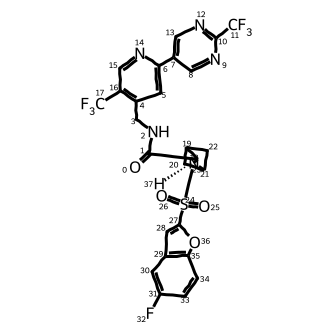 O=C(NCc1cc(-c2cnc(C(F)(F)F)nc2)ncc1C(F)(F)F)[C@@H]1C2CC(C2)N1S(=O)(=O)c1cc2cc(F)ccc2o1